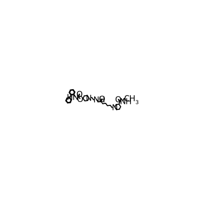 CCNC(=O)C1CCCN(CCCCCC(=O)CNCCN2CCC(OC(=O)Nc3ccccc3-c3ccccc3)CC2)C1